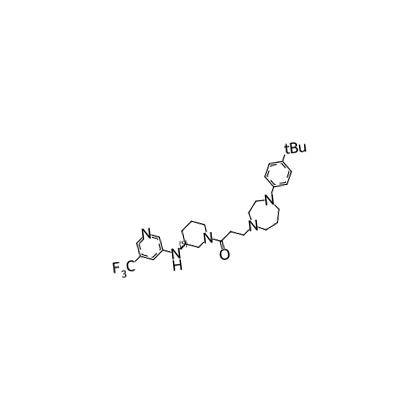 CC(C)(C)c1ccc(N2CCCN(CCC(=O)N3CCC[C@H](Nc4cncc(C(F)(F)F)c4)C3)CC2)cc1